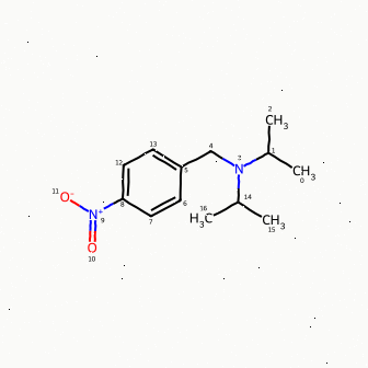 CC(C)N(Cc1ccc([N+](=O)[O-])cc1)C(C)C